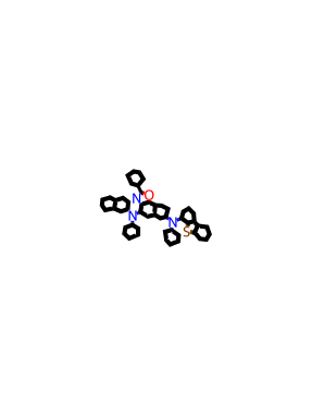 c1ccc(-c2nc3c(N(c4ccccc4)c4ccc5ccccc5c4)cc4cc(N(c5ccccc5)c5cccc6c5sc5ccccc56)ccc4c3o2)cc1